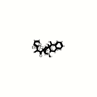 CCOC(=O)C1(C(=O)C(C)c2ccco2)CC2(C)C3Cc4ccccc4C2(C)CC1N3C